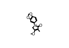 COC1=C(C)C(=O)N(c2ccc3c(c2)OCO3)C1